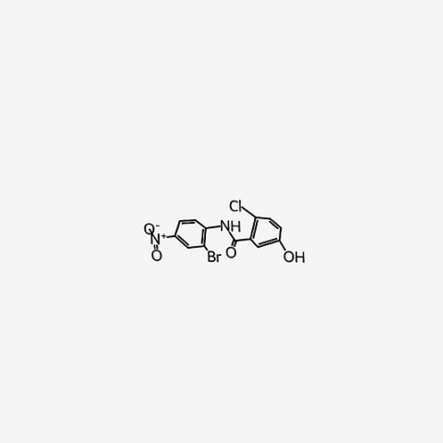 O=C(Nc1ccc([N+](=O)[O-])cc1Br)c1cc(O)ccc1Cl